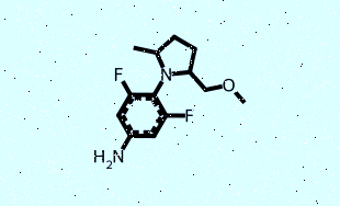 COCC1CCC(C)N1c1c(F)cc(N)cc1F